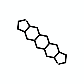 C1CC2CC3CC4CC5SCCC5CC4CC3CC2S1